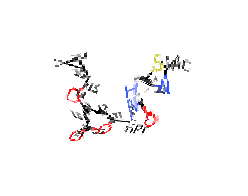 CCC[C@@H](NC(=O)[C@@H]1CSC(C(C)=O)=N1)c1cc(OCC2CC2)cc(=O)o1